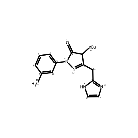 CCCCC1C(=O)N(c2cccc(C)c2)N=C1Cc1ncc[nH]1